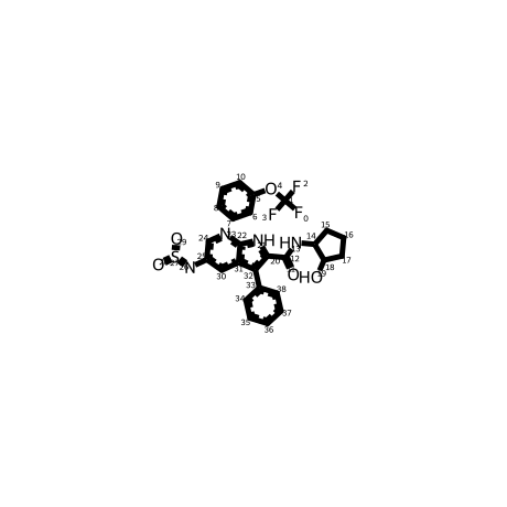 FC(F)(F)Oc1ccccc1.O=C(NC1CCCC1O)c1[nH]c2ncc(N=S(=O)=O)cc2c1-c1ccccc1